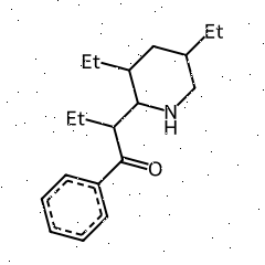 CCC1CNC(C(CC)C(=O)c2ccccc2)C(CC)C1